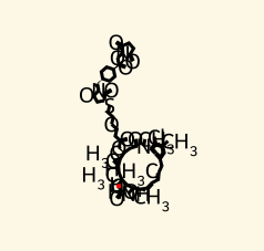 C/C1=C\C=C\[C@@H](C)[C@@]2(O)C[C@H](OC(=O)N2)[C@@H](C)[C@@H]2O[C@@]2(C)[C@@H](OC(=O)CCOCCSC2CC(=O)N(C[C@H]3CC[C@H](C(=O)ON4C(=O)CCC4=O)CC3)C2=O)CC(=O)N(C)c2cc(cc(C)c2Cl)C1